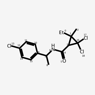 CCC1(C)C(C(=O)NC(C)c2ccc(Cl)cc2)C1(Cl)Cl